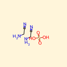 N#CCN.N#CCN.O=S(=O)(O)O